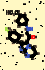 O=C(O)c1ccc(NCC(=O)c2c(-c3ccc(F)cc3)nc3ncccn23)cc1